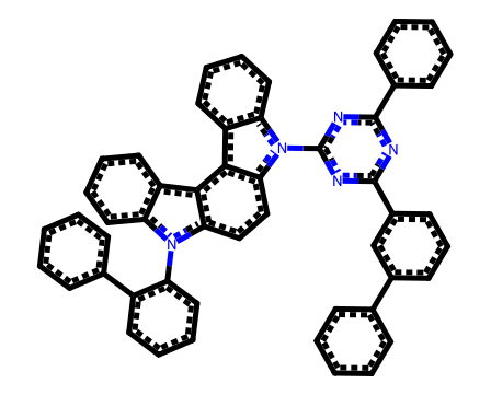 c1ccc(-c2cccc(-c3nc(-c4ccccc4)nc(-n4c5ccccc5c5c6c7ccccc7n(-c7ccccc7-c7ccccc7)c6ccc54)n3)c2)cc1